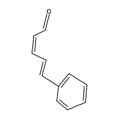 O=[C]/C=C\C=C\c1ccccc1